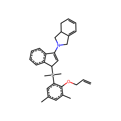 C=CCOc1c(C)cc(C)cc1[Si](C)(C)C1C=C(N2CC3=CC=CCC3C2)c2ccccc21